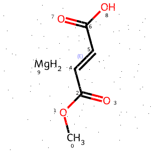 COC(=O)/C=C/C(=O)O.[MgH2]